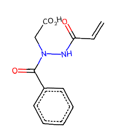 C=CC(=O)NN(CC(=O)O)C(=O)c1ccccc1